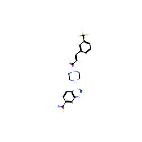 NC(=O)c1ccc2c(c1)ncn2N1CCN(C(=O)/C=C/c2cccc(C(F)(F)F)c2)CC1